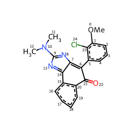 COc1cccc(C2=C3N=C(N(C)C)N=C3c3ccccc3C2=O)c1Cl